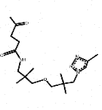 CC(=O)CCC(=O)NCC(C)(C)COCC(C)(C)Cn1cc(C)nn1